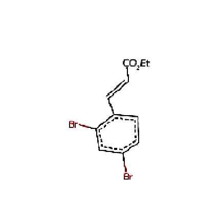 CCOC(=O)C=Cc1ccc(Br)cc1Br